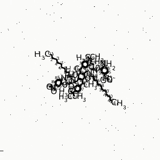 CCCCCCCCCCCCN(CC1=C(C(C)c2ccc(C(C)(C)C)cc2)C(=O)C(CN(CCCCCCCCCCCC)C(=O)NOc2cc([N+](=O)[O-])ccc2N)=C(C(C)c2ccc(C(C)(C)C)cc2)C1=O)C(=O)NOc1cc([N+](=O)[O-])ccc1N